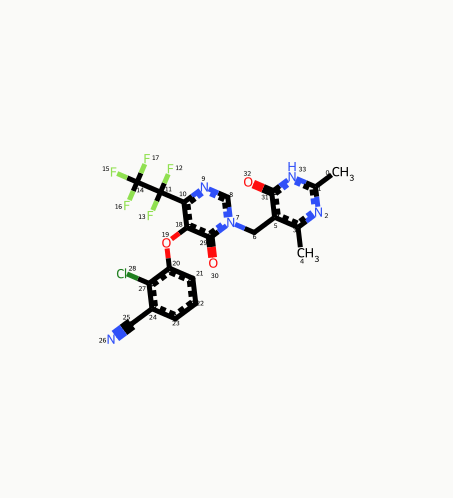 Cc1nc(C)c(Cn2cnc(C(F)(F)C(F)(F)F)c(Oc3cccc(C#N)c3Cl)c2=O)c(=O)[nH]1